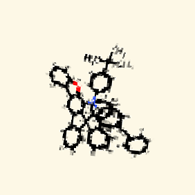 CC(C)(C)c1ccc(N(c2ccc(-c3ccccc3)cc2)c2c3c(cc4c2oc2ccccc24)-c2ccccc2C32c3ccccc3-c3ccccc32)cc1